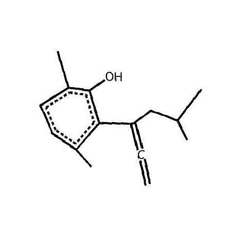 C=C=C(CC(C)C)c1c(C)ccc(C)c1O